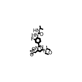 CC(C)NC(=O)Nc1ccc(-c2nc(CS(C)(=O)=O)cc(N3CCOC[C@@H]3C)n2)cc1F